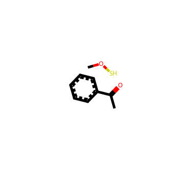 CC(=O)c1ccccc1.COS